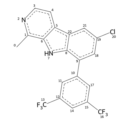 Cc1nccc2c1[nH]c1c(-c3cc(C(F)(F)F)cc(C(F)(F)F)c3)cc(Cl)cc12